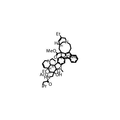 CCC1=C[C@@H]2CN(CCc3c([nH]c4ccccc34)[C@@](C(=O)OC)(c3cc4c(cc3OC)N(C)[C@H]3C(O)(CNC(=O)CC(C)C)[C@H](OC(C)=O)[C@]5(CC)C=CCN6CC[C@]43C65)C2)C1